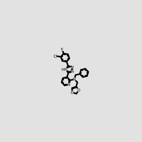 Fc1ccc(-c2nnc(-c3cccnc3N(CC3=COCO3)Cc3ccccc3)[nH]2)cc1Cl